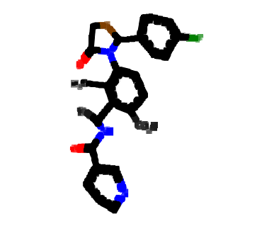 CCC(NC(=O)c1cccnc1)c1c(C(=O)O)ccc(N2C(=O)CSC2c2ccc(F)cc2)c1C